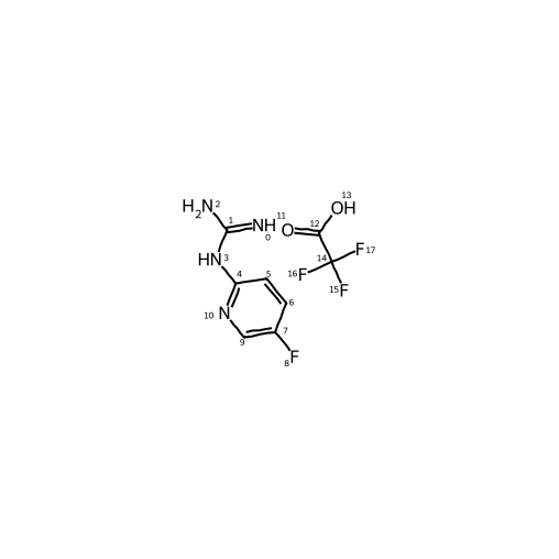 N=C(N)Nc1ccc(F)cn1.O=C(O)C(F)(F)F